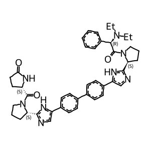 CCN(CC)[C@@H](C(=O)N1CCC[C@H]1c1ncc(-c2ccc(-c3ccc(-c4cnc([C@@H]5CCCN5C(=O)[C@@H]5CCC(=O)N5)[nH]4)cc3)cc2)[nH]1)c1ccccc1